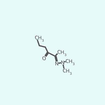 CCCC(=O)/C(C)=N/N(C)C